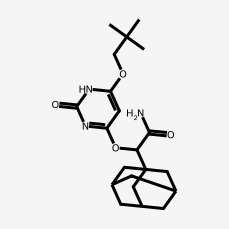 CC(C)(C)COc1cc(OC(C(N)=O)C23CC4CC(CC(C4)C2)C3)nc(=O)[nH]1